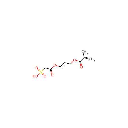 C=C(C)C(=O)OCCCOC(=O)CS(=O)(=O)O